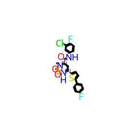 CN1[C@H](C(=O)Nc2ccc(F)c(Cl)c2)C[C@H](c2ccc(-c3ccc(F)cc3)s2)NS1(=O)=O